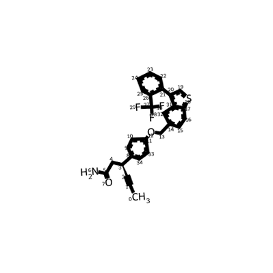 CC#C[C@@H](CC(N)=O)c1ccc(OCc2ccc3scc(-c4ccccc4C(F)(F)F)c3c2)cc1